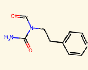 NC(=O)N([C]=O)CCc1ccccc1